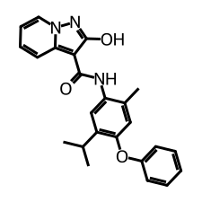 Cc1cc(Oc2ccccc2)c(C(C)C)cc1NC(=O)c1c(O)nn2ccccc12